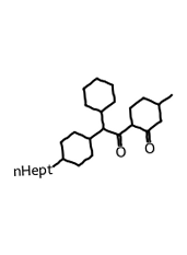 CCCCCCCC1CCC(C(C(=O)C2CCC(C)CC2=O)C2CCCCC2)CC1